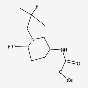 CC(C)(F)CN1CC(NC(=O)OC(C)(C)C)CCC1C(F)(F)F